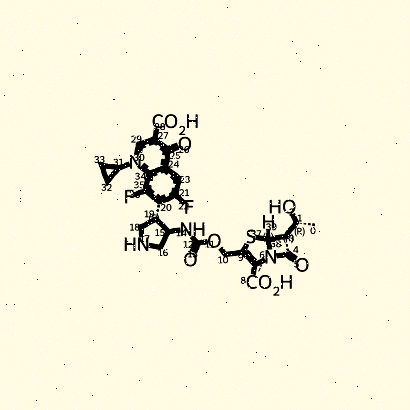 C[C@@H](O)[C@@H]1C(=O)N2C(C(=O)O)=C(COC(=O)NC3CNC[C@@H]3c3c(F)cc4c(=O)c(C(=O)O)cn(C5CC5)c4c3F)S[C@H]12